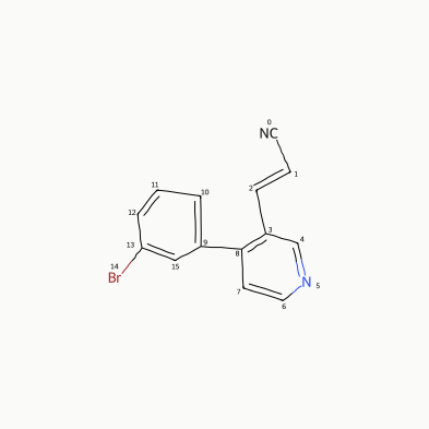 N#CC=Cc1cnccc1-c1cccc(Br)c1